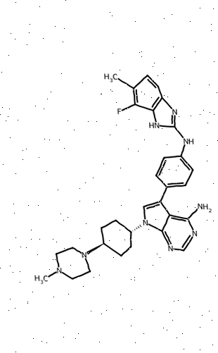 Cc1ccc2nc(Nc3ccc(-c4cn([C@H]5CC[C@H](N6CCN(C)CC6)CC5)c5ncnc(N)c45)cc3)[nH]c2c1F